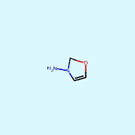 NN1C=COC1